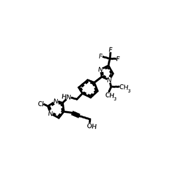 CC(C)n1cc(C(F)(F)F)nc1-c1ccc(CNc2nc(Cl)ncc2C#CCO)cc1